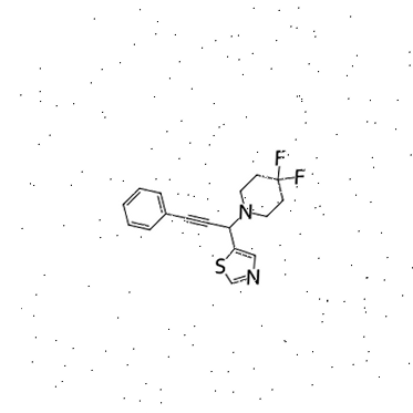 FC1(F)CCN(C(C#Cc2ccccc2)c2cncs2)CC1